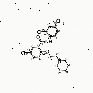 Cc1ccc(NC(=O)c2cc(Cl)ccc2OCCN2CCCCC2)c(Cl)c1